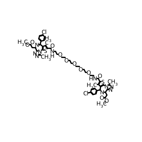 COC(=O)CC1N=C(c2ccc(Cl)cc2)c2c(sc(C(=O)NCCOCCOCCOCCOCCOCCNC(=O)c3sc4c(c3C)C(c3ccc(Cl)cc3)=NC(CC(=O)OC)c3nnc(C)n3-4)c2C)-n2c(C)nnc21